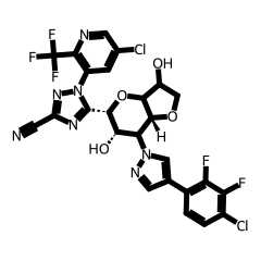 N#Cc1nc([C@@H]2OC3C(O)CO[C@@H]3C(n3cc(-c4ccc(Cl)c(F)c4F)cn3)[C@@H]2O)n(-c2cc(Cl)cnc2C(F)(F)F)n1